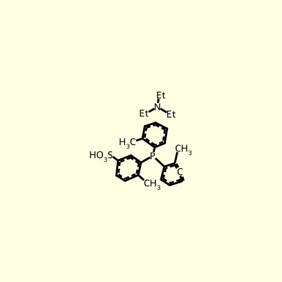 CCN(CC)CC.Cc1ccccc1P(c1ccccc1C)c1cc(S(=O)(=O)O)ccc1C